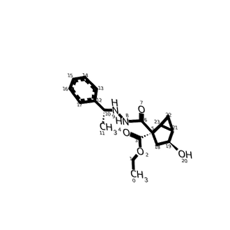 CCOC(=O)[C@@]1(C(=O)NN[C@H](C)c2ccccc2)C[C@H](O)C2CC21